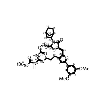 COc1cc(OC)cc(-c2cc(CCCN=C(NC(=O)OC(C)(C)C)NC(=O)OC(C)(C)C)c(/C=C3\SC(=S)N(C4CC5CCC4C5)C3=O)o2)c1